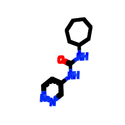 O=C(Nc1ccnnc1)NC1CCCCCC1